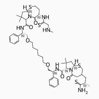 CNCC(=S)N[C@H]1CCS[C@H]2CC(C)(C)C(C(=O)N[C@H](COCCCCCCOC[C@@H](NC(=O)[C@H]3N4C(=O)CC(C[C@H](C)C(N)=S)CS[C@H]4CC3(C)C)c3ccccc3)c3ccccc3)N2C1=O